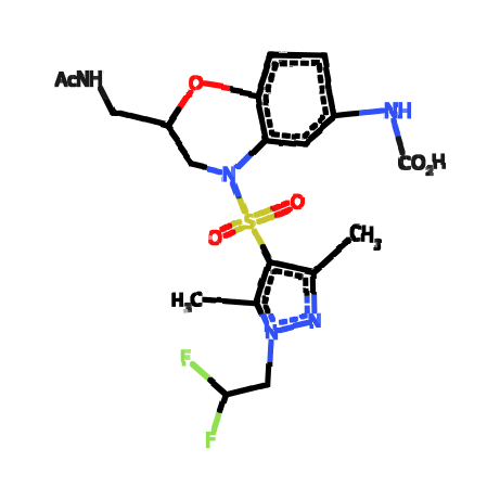 CC(=O)NCC1CN(S(=O)(=O)c2c(C)nn(CC(F)F)c2C)c2cc(NC(=O)O)ccc2O1